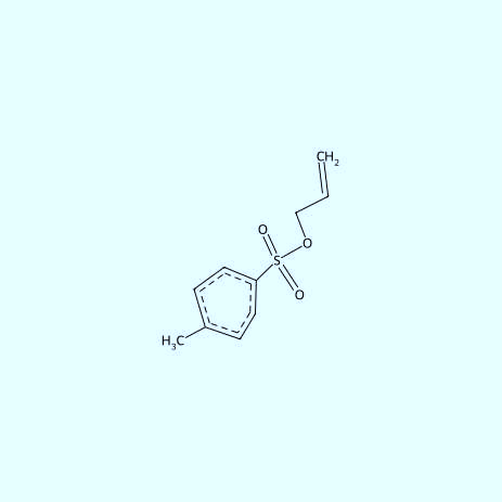 C=CCOS(=O)(=O)c1ccc(C)cc1